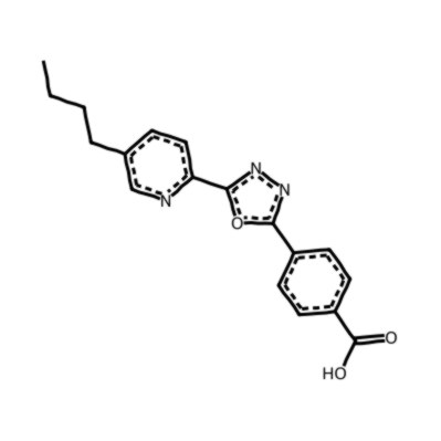 CCCCc1ccc(-c2nnc(-c3ccc(C(=O)O)cc3)o2)nc1